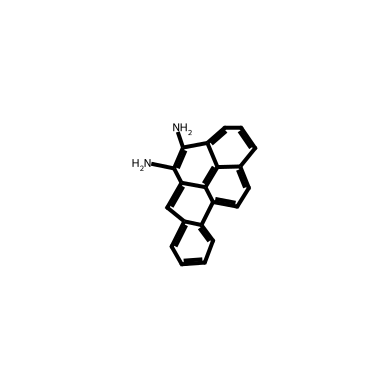 Nc1c(N)c2cc3ccccc3c3ccc4cccc1c4c23